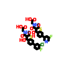 O=C(O)CNC(=O)c1c(O)c2ccc(-c3ccc(F)c(Cl)c3)cc2sc1=O.O=C(O)CNC(=O)c1c(O)c2ccc(-c3cncc(F)c3)cc2sc1=O